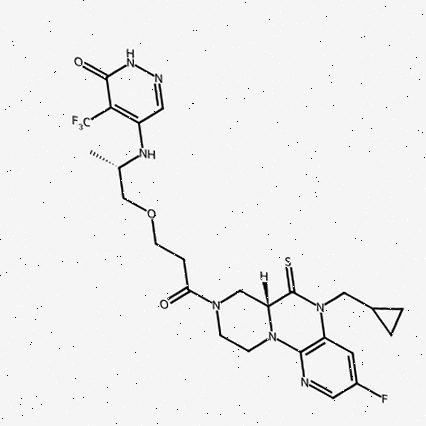 C[C@@H](COCCC(=O)N1CCN2c3ncc(F)cc3N(CC3CC3)C(=S)[C@H]2C1)Nc1cn[nH]c(=O)c1C(F)(F)F